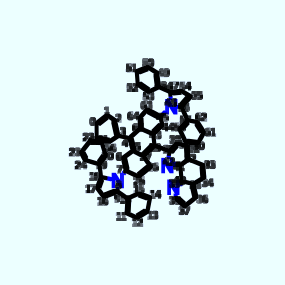 c1ccc(-c2c3cc(-n4c(-c5ccccc5)ccc4-c4ccccc4)ccc3c(-c3ccc4ccc5cccnc5c4n3)c3cc(-n4c(-c5ccccc5)ccc4-c4ccccc4)ccc23)cc1